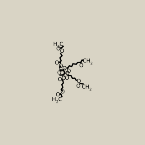 C=CC(=O)CCCCCC(=O)O[C@@H]1[C@@H](OC(=O)CCCCOC(=O)C=C)[C@H](OC(=O)CCCCOC(=O)C=C)CO[C@H]1COC(=O)CCCCOC(=O)C=C